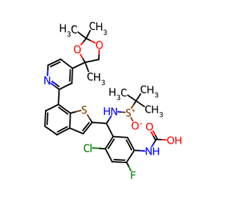 CC1(C)OCC(C)(c2ccnc(-c3cccc4cc(C(N[S+]([O-])C(C)(C)C)c5cc(NC(=O)O)c(F)cc5Cl)sc34)c2)O1